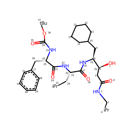 CC(C)CNC(=O)C[C@H](O)[C@H](CC1CCCCC1)NC(=O)[C@H](CC(C)C)NC(=O)[C@H](Cc1ccccc1)NC(=O)OC(C)(C)C